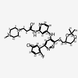 CN1CCN(CCC(=O)Nc2cc(Nc3cc(-c4cc(Cl)ccc4F)nnc3SCC3CCOC(C)(C)O3)ccn2)CC1